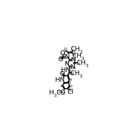 COc1cc2[nH]c(=O)c([C@H](C)Nc3nc(C)nc(N4C(=O)OCC4C(C)C)n3)cc2cc1Cl